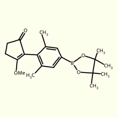 COC1=C(c2c(C)cc(B3OC(C)(C)C(C)(C)O3)cc2C)C(=O)CC1